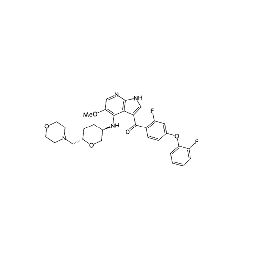 COc1cnc2[nH]cc(C(=O)c3ccc(Oc4ccccc4F)cc3F)c2c1N[C@@H]1CC[C@@H](CN2CCOCC2)OC1